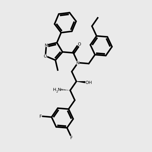 CCc1cccc(CN(C[C@@H](O)[C@@H](N)Cc2cc(F)cc(F)c2)C(=O)c2c(-c3ccccc3)noc2C)c1